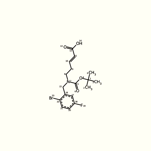 CC(C)(C)OC(=O)N(CCC=CC(=O)O)Cc1cc(F)ccc1Br